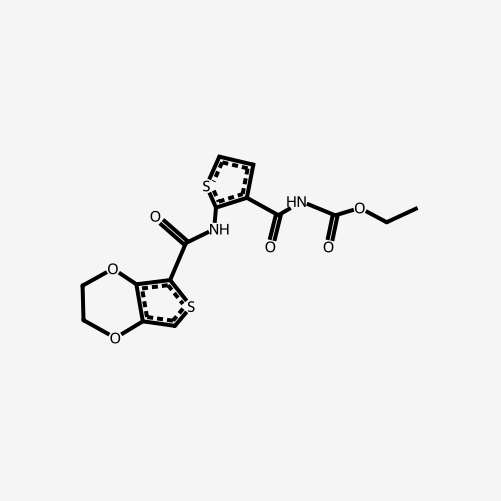 CCOC(=O)NC(=O)c1ccsc1NC(=O)c1scc2c1OCCO2